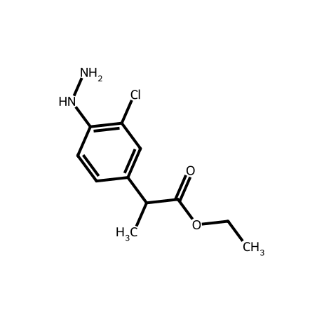 CCOC(=O)C(C)c1ccc(NN)c(Cl)c1